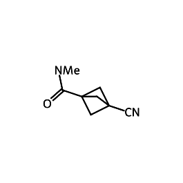 CNC(=O)C12CC(C#N)(C1)C2